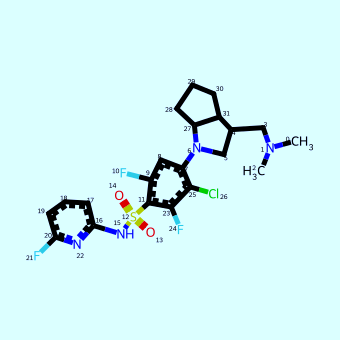 CN(C)CC1CN(c2cc(F)c(S(=O)(=O)Nc3cccc(F)n3)c(F)c2Cl)C2CCCC12